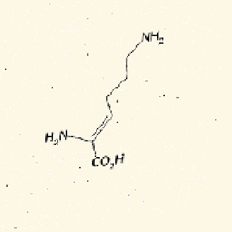 NCCCC=C(N)C(=O)O